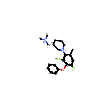 Cc1cc(F)c(Oc2ccccc2)c(F)c1N1CCC[C@@H](CN(C)C)C1